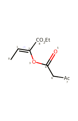 C/C=C(\OC(=O)CC(C)=O)C(=O)OCC